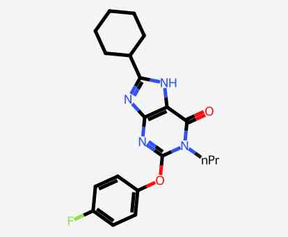 CCCn1c(Oc2ccc(F)cc2)nc2nc(C3CCCCC3)[nH]c2c1=O